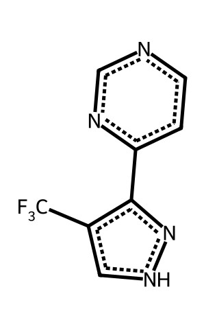 FC(F)(F)c1c[nH]nc1-c1ccncn1